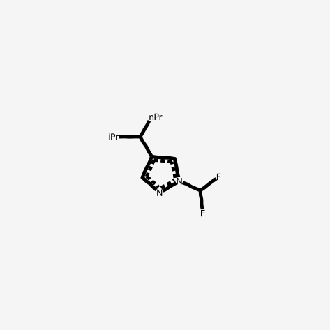 CCCC(c1cnn(C(F)F)c1)C(C)C